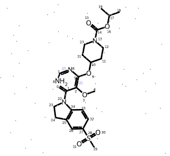 C=C(/C(OC)=C(\N=C/N)OC1CCN(C(=O)OC(C)C)CC1)N1CCc2cc(S(C)(=O)=O)ccc21